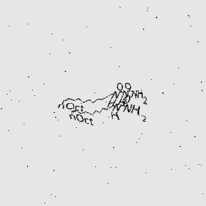 CCCCCCCC/C=C\CCCCCCCCNC(=O)NC(N)=O.CCCCCCCC/C=C\CCCCCCCCNC(N)=O